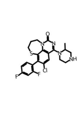 CC1CNCCN1c1nc(=O)n2c3c(c(-c4ccc(F)cc4F)c(Cl)cc13)SCCC2